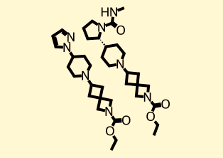 CCOC(=O)N1CC2(CC(N3CCC([C@@H]4CCCN4C(=O)NC)CC3)C2)C1.CCOC(=O)N1CC2(CC(N3CCC(n4cccn4)CC3)C2)C1